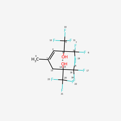 CC(=CC(O)(C(F)(F)F)C(F)(F)F)CC(O)(C(F)(F)F)C(F)(F)F